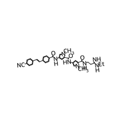 CCNC(=N)CCNC(=O)c1cc(NC(=O)c2cc(NC(=O)c3ccc(/C=C/c4ccc(C#N)cc4)cc3)cn2C)cn1C